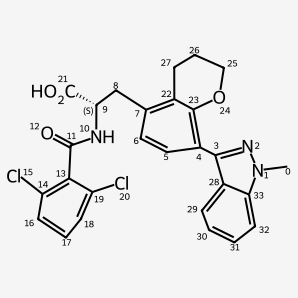 Cn1nc(-c2ccc(C[C@H](NC(=O)c3c(Cl)cccc3Cl)C(=O)O)c3c2OCCC3)c2ccccc21